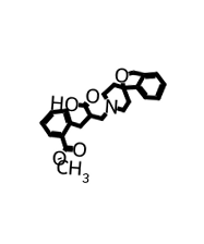 COC(=O)c1ccccc1CC(CN1CCC2(CC1)OCc1ccccc12)C(=O)O